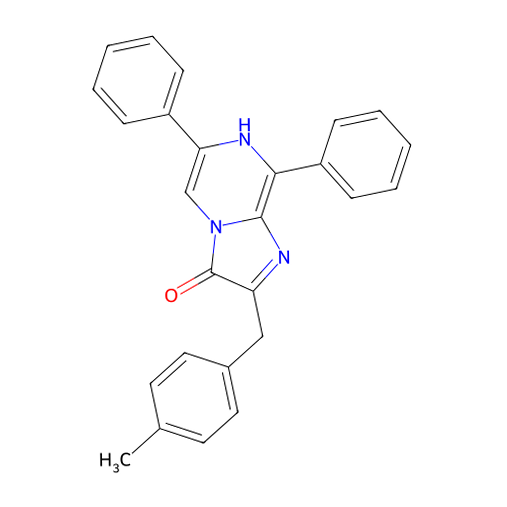 Cc1ccc(Cc2nc3c(-c4ccccc4)[nH]c(-c4ccccc4)cn-3c2=O)cc1